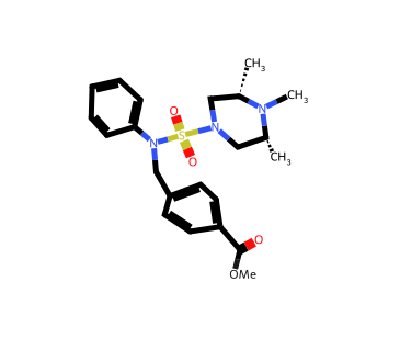 COC(=O)c1ccc(CN(c2ccccc2)S(=O)(=O)N2C[C@@H](C)N(C)[C@@H](C)C2)cc1